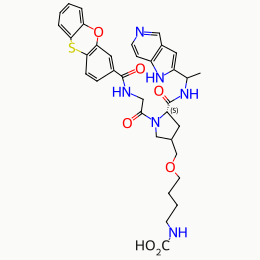 CC(NC(=O)[C@@H]1CC(COCCCCNC(=O)O)CN1C(=O)CNC(=O)c1ccc2c(c1)Oc1ccccc1S2)c1cc2cnccc2[nH]1